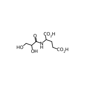 O=C(O)CCC(NC(=O)C(O)CO)C(=O)O